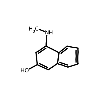 CNc1cc(O)cc2ccccc12